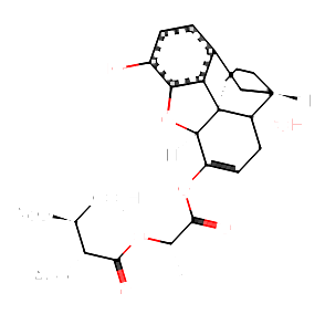 CC(=O)O[C@@H](C(=O)O)[C@@H](OC(C)=O)C(=O)O[C@@H](C)C(=O)OC1=CC[C@]2(O)[C@H]3CCC[C@]24c2c(ccc(O)c2O[C@H]14)C3